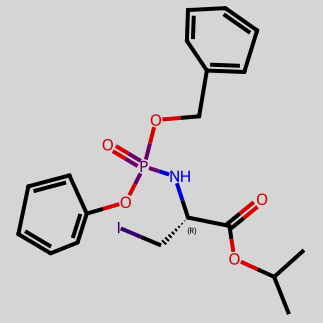 CC(C)OC(=O)[C@H](CI)NP(=O)(OCc1ccccc1)Oc1ccccc1